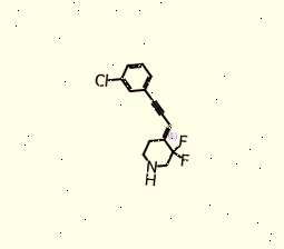 FC1(F)CNCC/C1=C\C#Cc1cccc(Cl)c1